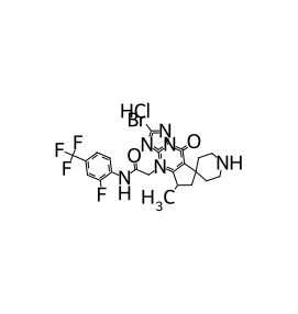 CC1CC2(CCNCC2)c2c1n(CC(=O)Nc1ccc(C(F)(F)F)cc1F)c1nc(Br)nn1c2=O.Cl